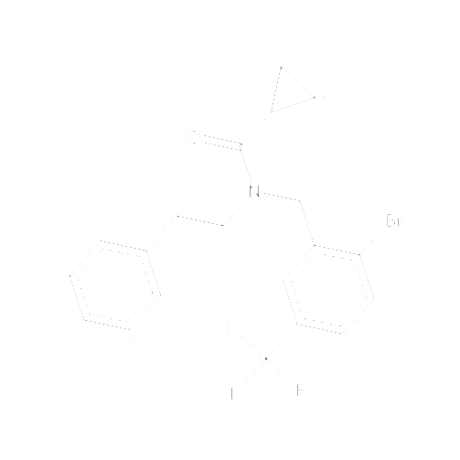 O=C(C1CC1)N(CCc1ccccc1)Cc1cc(C(F)(F)F)ccc1Br